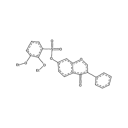 CCOc1cccc(S(=O)(=O)Oc2ccc3c(=O)c(-c4ccccc4)coc3c2)c1OCC